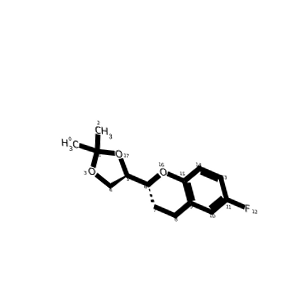 CC1(C)OC[C@H]([C@H]2CCc3cc(F)ccc3O2)O1